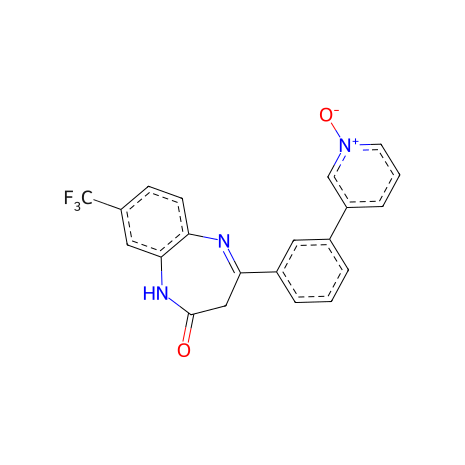 O=C1CC(c2cccc(-c3ccc[n+]([O-])c3)c2)=Nc2ccc(C(F)(F)F)cc2N1